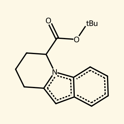 CC(C)(C)OC(=O)C1CCCc2cc3ccccc3n21